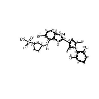 CCS(=O)(=O)N1CC[C@H](Nc2c(Br)cnc3[nH]c(-c4cc(C)n(-c5c(Cl)cccc5Cl)c4C)nc23)C1